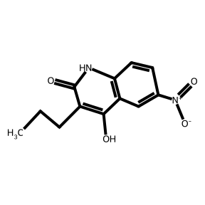 CCCc1c(O)c2cc([N+](=O)[O-])ccc2[nH]c1=O